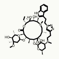 CC[C@H]1OC(=O)[C@H](C)[C@@H](O[C@H]2C[C@@](C)(OC)[C@@H](O)[C@H](C)O2)[C@H](C)[C@@H](O[C@@H]2O[C@H](C)C[C@H](N(C)CCc3cn(CCc4c[nH]c5ccccc45)nn3)[C@H]2O)[C@](C)(O)C[C@@H](C)CN(C)[C@H](C)[C@@H](O)[C@]1(C)O